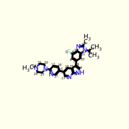 Cc1nc2c(F)cc(-c3c[nH]c4ncc(-c5ccc(N6CCN(C)CC6)nc5)cc34)cc2n1C(C)C